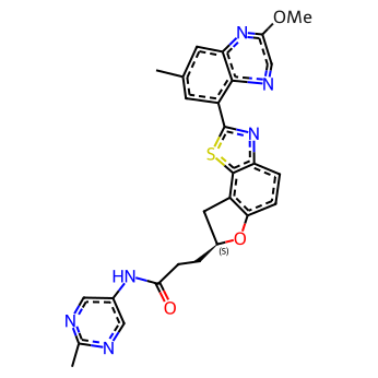 COc1cnc2c(-c3nc4ccc5c(c4s3)C[C@H](CCC(=O)Nc3cnc(C)nc3)O5)cc(C)cc2n1